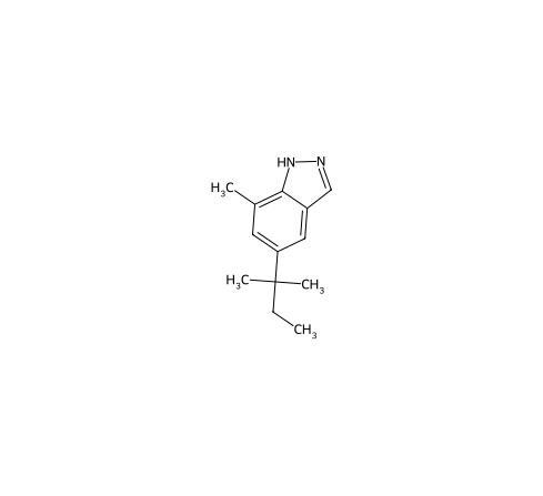 CCC(C)(C)c1cc(C)c2[nH]ncc2c1